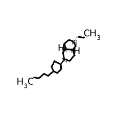 CCCCCC1CCC([C@@H]2CC[C@H]3C[C@@H](CCC)CC[C@@H]3C2)CC1